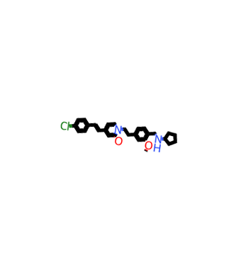 COc1cc(CCn2ccc(/C=C/c3ccc(Cl)cc3)cc2=O)ccc1CNC1CCCC1